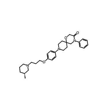 C[C@H]1CCCN(CCCOc2ccc(N3CCC4(CC3)CN(c3ccccc3)C(=O)CO4)cc2)C1